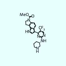 COC(=O)N1CCc2c1ccc1c(-c3nc(N[C@H]4CCCNC4)ncc3C(F)(F)F)c[nH]c21